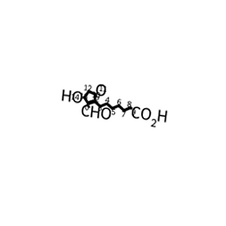 O=CC1=C(CCCCCCC(=O)O)C(=O)C[C@H]1O